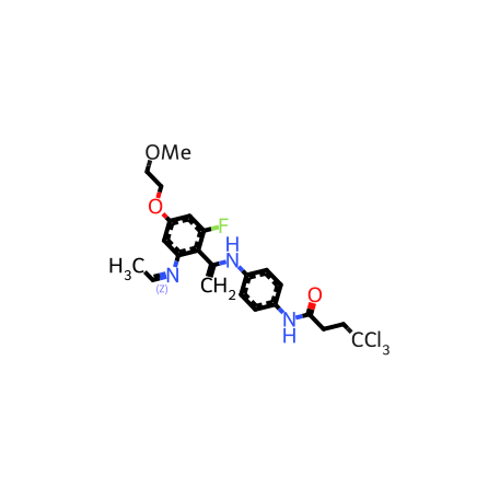 C=C(Nc1ccc(NC(=O)CCC(Cl)(Cl)Cl)cc1)c1c(F)cc(OCCOC)cc1/N=C\C